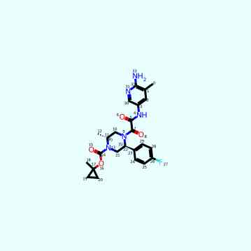 Cc1cc(NC(=O)C(=O)N2C[C@@H](C)N(C(=O)OC3(C)CC3)C[C@@H]2c2ccc(F)cc2)cnc1N